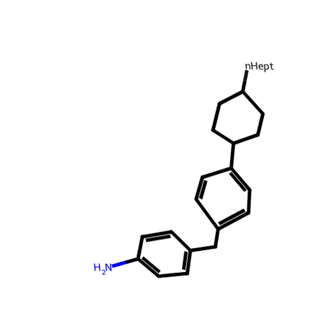 CCCCCCCC1CCC(c2ccc(Cc3ccc(N)cc3)cc2)CC1